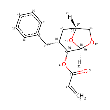 C=CC(=O)O[C@@H]1[C@H](Cc2ccccc2)C[C@@H]2CO[C@@H]1O2